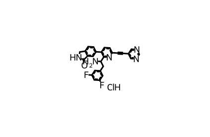 Cl.NC(Cc1cc(F)cc(F)c1)c1nc(C#Cc2cncnc2)ccc1-c1ccc2c(c1)C(=O)NC2